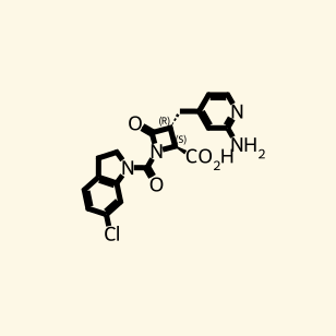 Nc1cc(C[C@H]2C(=O)N(C(=O)N3CCc4ccc(Cl)cc43)[C@@H]2C(=O)O)ccn1